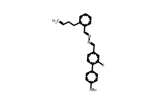 C=CCCc1ccccc1C=NN=Cc1ccc(-c2ccc(CCCC)cc2)c(F)c1